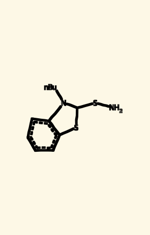 CCCCN1c2ccccc2SC1SN